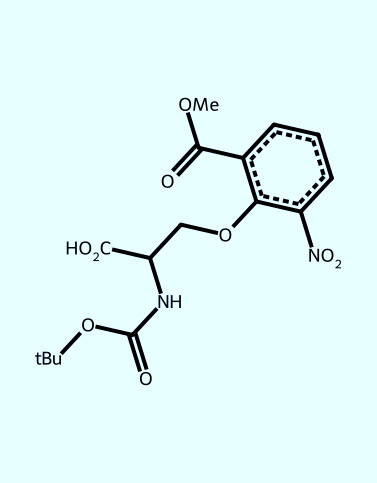 COC(=O)c1cccc([N+](=O)[O-])c1OCC(NC(=O)OC(C)(C)C)C(=O)O